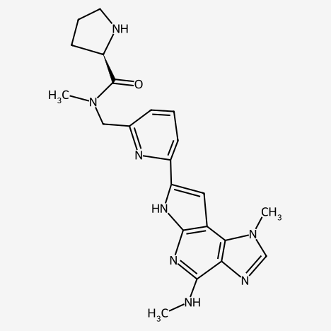 CNc1nc2[nH]c(-c3cccc(CN(C)C(=O)[C@H]4CCCN4)n3)cc2c2c1ncn2C